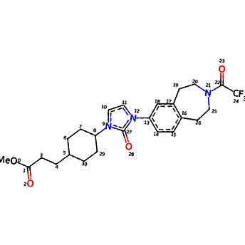 COC(=O)CCC1CCC(n2ccn(-c3ccc4c(c3)CCN(C(=O)C(F)(F)F)CC4)c2=O)CC1